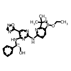 CCOB1OC(C)(C)c2nc(Nc3ncc(-c4ncno4)c(N[C@H](CO)c4ccccc4)n3)ccc21